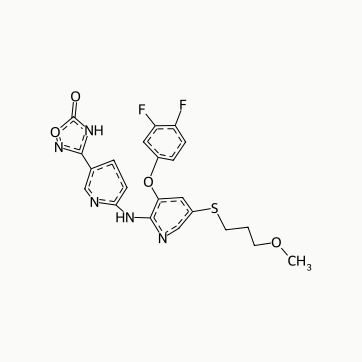 COCCCSc1cnc(Nc2ccc(-c3noc(=O)[nH]3)cn2)c(Oc2ccc(F)c(F)c2)c1